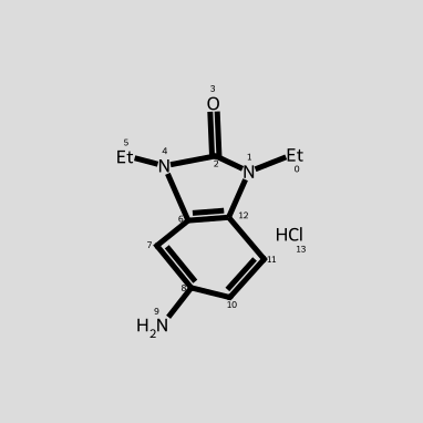 CCn1c(=O)n(CC)c2cc(N)ccc21.Cl